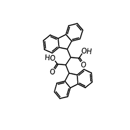 O=C(O)C(C1c2ccccc2-c2ccccc21)C(C(=O)O)C1c2ccccc2-c2ccccc21